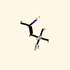 CC[Si](C)(C)C=C(C)I